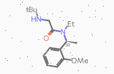 CCN(C(=O)CNC(C)(C)C)[C@@H](C)c1ccccc1OC